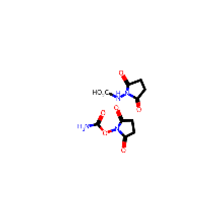 NC(=O)ON1C(=O)CCC1=O.O=C(O)NN1C(=O)CCC1=O